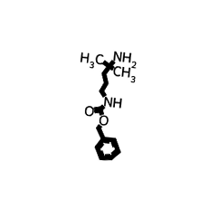 CC(C)(N)CCCNC(=O)OCc1ccccc1